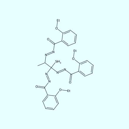 CCOc1ccccc1C(=O)N=NC(C)C([SiH3])(N=NC(=O)c1ccccc1OCC)N=NC(=O)c1ccccc1OCC